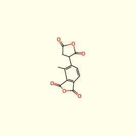 Cc1c(C2CC(=O)OC2=O)ccc2c1C(=O)OC2=O